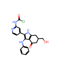 O=C(Cl)Nc1cc(-c2[nH]c3c(c2Nc2ccccc2)C(=O)CC(CO)C3)ccn1